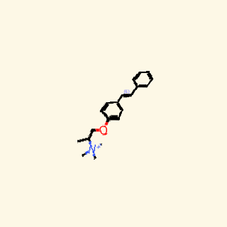 CC(COc1ccc(/C=C/c2ccccc2)cc1)[N+](C)(C)C